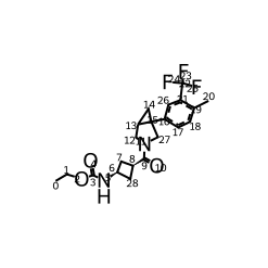 CCOC(=O)N[C@H]1C[C@@H](C(=O)N2CC3CC3(c3ccc(C)c(C(F)(F)F)c3)C2)C1